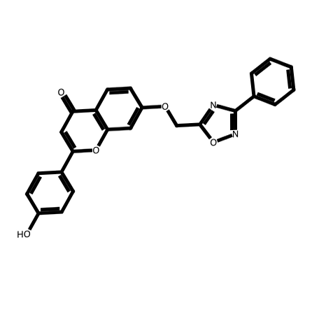 O=c1cc(-c2ccc(O)cc2)oc2cc(OCc3nc(-c4ccccc4)no3)ccc12